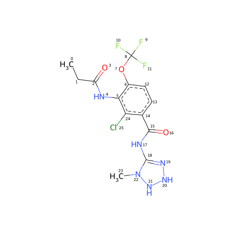 CCC(=O)Nc1c(OC(F)(F)F)ccc(C(=O)NC2=NNNN2C)c1Cl